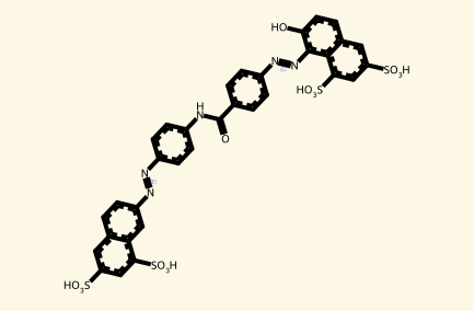 O=C(Nc1ccc(/N=N/c2ccc3cc(S(=O)(=O)O)cc(S(=O)(=O)O)c3c2)cc1)c1ccc(/N=N/c2c(O)ccc3cc(S(=O)(=O)O)cc(S(=O)(=O)O)c23)cc1